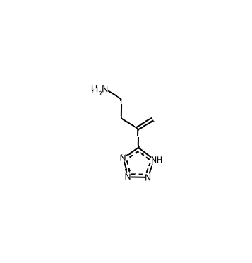 C=C(CCN)c1nnn[nH]1